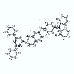 Cc1cccc2c3ccccc3n(-c3ccc4c(c3)Cc3cc5ccc(-c6cc(-c7ccccc7)nc(-c7ccccc7)n6)cc5cc3C4)c12